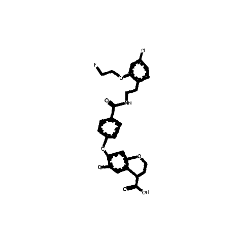 O=C(NCCc1ccc(Cl)cc1OCCF)c1ccc(Oc2cc3c(cc2Cl)C(C(=O)O)CCO3)cc1